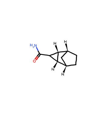 NC(=O)C1[C@@H]2[C@@H]3CC[C@@H](C3)[C@H]12